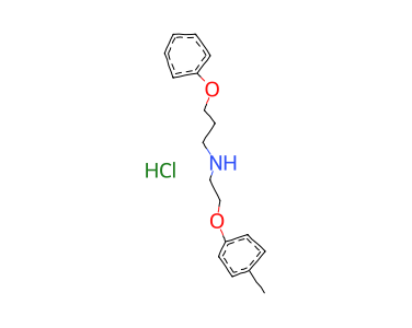 Cc1ccc(OCCNCCCOc2ccccc2)cc1.Cl